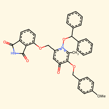 COc1ccc(COc2c(C)n(OC(c3ccccc3)c3ccccc3)c(COc3cccc4c3C(=O)NC4=O)cc2=O)cc1